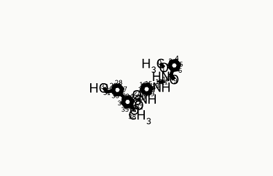 COc1ccccc1C(=O)NCCNc1cccc(NS(=O)(=O)c2cc(-c3cccc(CO)c3)ccc2OC)c1